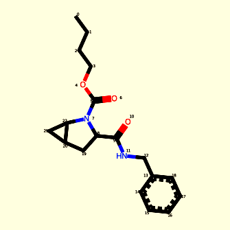 CCCCOC(=O)N1C(C(=O)NCc2ccccc2)CC2CC21